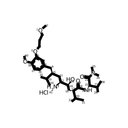 COCCCOc1cc(C[C@@H](C[C@H](N)[C@@H](O)C[C@H](C(=O)N[C@H](C(=O)N(C)C)C(C)C)C(C)C)C(C)C)ccc1OC.Cl